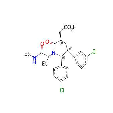 CCNC(=O)C(CC)N1C(=O)[C@@H](CC(=O)O)C[C@H](c2cccc(Cl)c2)[C@H]1c1ccc(Cl)cc1